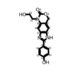 O=C1OCc2cc3[nH]c(-c4ccc(O)cc4)nc3cc2N1CCO